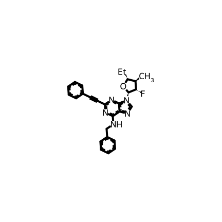 CC[C@H]1O[C@@H](n2cnc3c(NCc4ccccc4)nc(C#Cc4ccccc4)nc32)[C@@H](F)[C@@H]1C